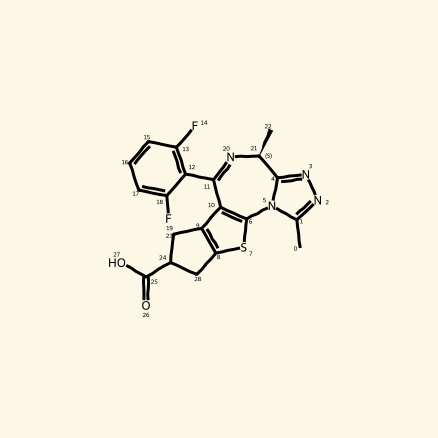 Cc1nnc2n1-c1sc3c(c1C(c1c(F)cccc1F)=N[C@H]2C)CC(C(=O)O)C3